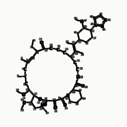 CCC1/C=C(\C)CC(C)CC(OC)C2OC(O)(C(=O)C(=O)N3CCCCC3C(=O)OCCC(/C(C)=C(\C)C3CCC(n4ncnn4)C(OC)C3)CCCC1=O)C(C)CC2OC